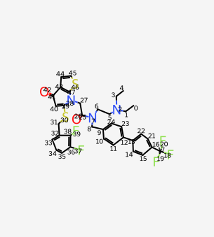 CCN(CC)CCN(Cc1ccc(-c2ccc(C(F)(F)F)cc2)cc1)C(=O)Cn1c(SCc2cccc(F)c2F)cc(=O)c2ccsc21